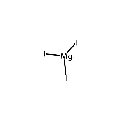 [I][Mg]([I])[I]